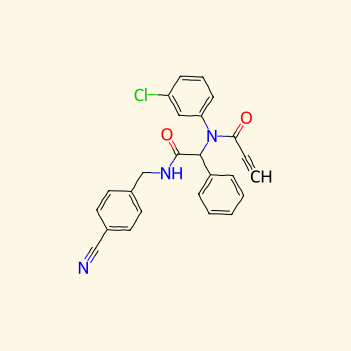 C#CC(=O)N(c1cccc(Cl)c1)C(C(=O)NCc1ccc(C#N)cc1)c1ccccc1